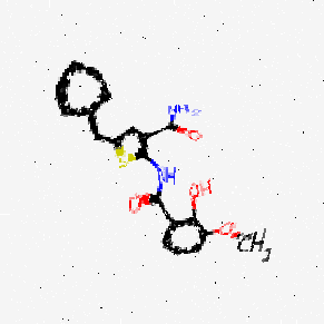 COc1cccc(C(=O)Nc2sc(Cc3ccccc3)cc2C(N)=O)c1O